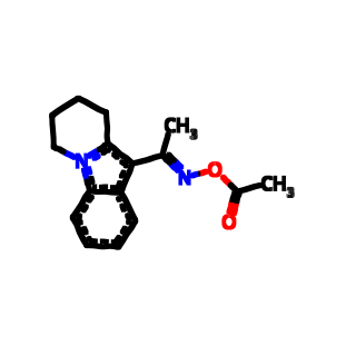 CC(=O)O/N=C(\C)c1c2n(c3ccccc13)CCCC2